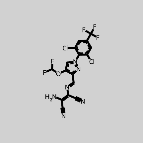 N#C/C(N)=C(C#N)/N=C/c1nn(-c2c(Cl)cc(C(F)(F)F)cc2Cl)cc1OC(F)F